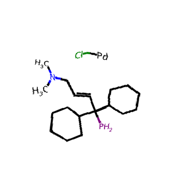 CN(C)C/C=C/C(P)(C1CCCCC1)C1CCCCC1.[Cl][Pd]